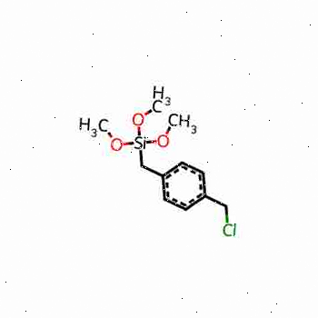 CO[Si](Cc1ccc(CCl)cc1)(OC)OC